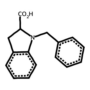 O=C(O)C1Cc2ccccc2N1Cc1ccccc1